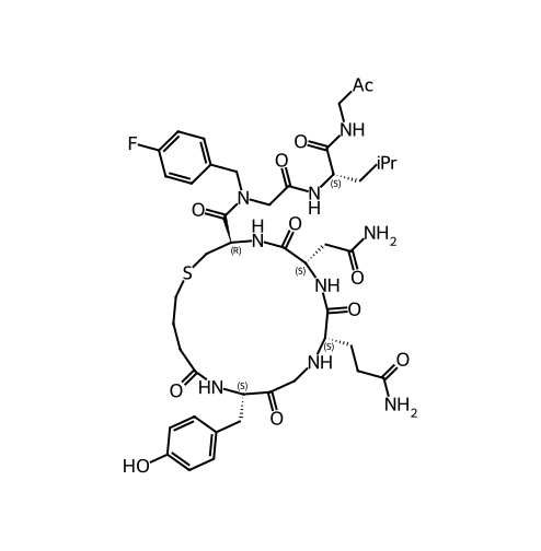 CC(=O)CNC(=O)[C@H](CC(C)C)NC(=O)CN(Cc1ccc(F)cc1)C(=O)[C@@H]1CSCCCC(=O)N[C@@H](Cc2ccc(O)cc2)C(=O)CN[C@@H](CCC(N)=O)C(=O)N[C@@H](CC(N)=O)C(=O)N1